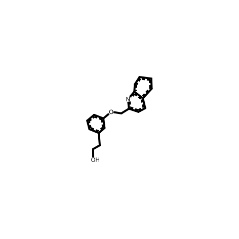 OCCc1cccc(OCc2ccc3ccccc3n2)c1